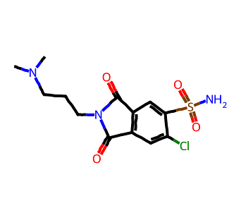 CN(C)CCCN1C(=O)c2cc(Cl)c(S(N)(=O)=O)cc2C1=O